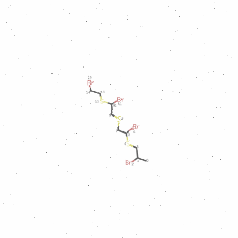 CC(Br)CSC(Br)CSCC(Br)SCCBr